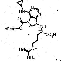 CCCCCOC(=O)N1CN(N[C@@H](CCCNC(=N)N)C(=O)O)c2ncnc(NC3CC3)c21